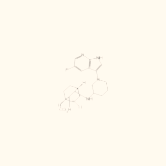 O=C(O)[C@@H]1C(NC2CCCN(c3c[nH]c4ncc(F)cc34)C2)[C@H]2CC[C@@H]1CC2